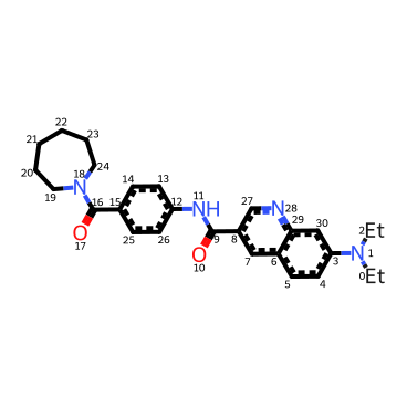 CCN(CC)c1ccc2cc(C(=O)Nc3ccc(C(=O)N4CCCCCC4)cc3)cnc2c1